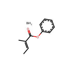 CC=C(C)C(=O)Oc1ccccc1.[BiH3]